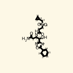 NC(=O)CC(NC(=O)[CH]CS(=O)(=O)CC1CC1)C(O)c1noc(-c2ccccc2)n1